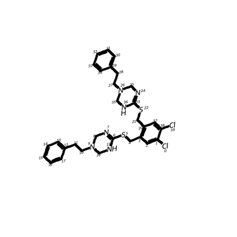 Clc1cc(CSC2=NCN(CCc3ccccc3)CN2)c(CSC2=NCN(CCc3ccccc3)CN2)cc1Cl